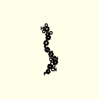 N#Cc1c(N2CC[C@@H](F)C2)ccc(F)c1Oc1ccc2ncn(-c3cnc(N4CCN(CC5CCN(c6ccc7c(c6)CN(C6CCC(=O)NC6=O)C7=O)CC5)CC4)cn3)c(=O)c2c1